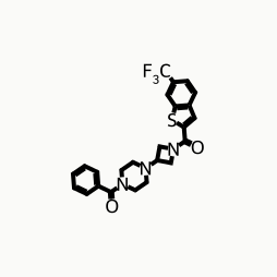 O=C(c1ccccc1)N1CCN(C2CN(C(=O)c3cc4ccc(C(F)(F)F)cc4s3)C2)CC1